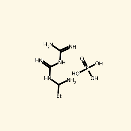 CCC(N)NC(=N)NC(=N)N.O=P(O)(O)O